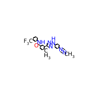 Cc1ccc(C(=O)Nc2cccc(C(F)(F)F)c2)cc1-c1cnc(Nc2ccc(N3CCN(C)CC3)cc2)nc1